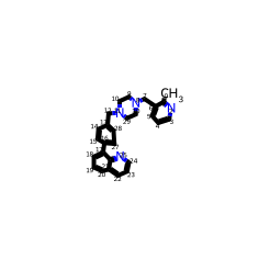 Cc1ncccc1CN1CCN(Cc2ccc(-c3cccc4cccnc34)cc2)CC1